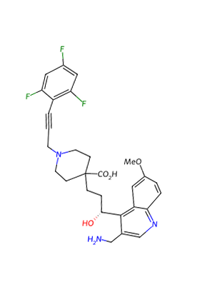 COc1ccc2ncc(CN)c([C@H](O)CCC3(C(=O)O)CCN(CC#Cc4c(F)cc(F)cc4F)CC3)c2c1